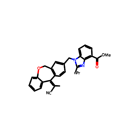 CCCc1nc2c(C(=O)OC)cccc2n1Cc1ccc2c(c1)COc1ccccc1C2=C(C)C#N